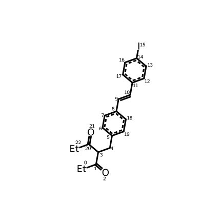 CCC(=O)C(Cc1ccc(C=Cc2ccc(I)cc2)cc1)C(=O)CC